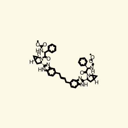 COO/C=N\[C@@H](C(=O)N1[C@@H]2C[C@@H]2C[C@H]1c1nc2cc(C/C=C/Cc3ccc4[nH]c([C@@H]5C[C@H]6C[C@H]6N5C(=O)[C@H](NC(=O)OC)c5ccccc5)nc4c3)ccc2[nH]1)c1ccccc1